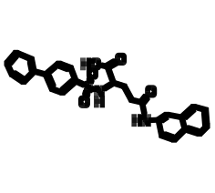 O=C(CCC(NS(=O)(=O)c1ccc(-c2ccccc2)cc1)C(=O)O)Nc1ccc2ccccc2c1